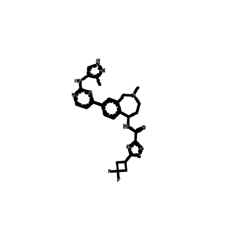 Cc1n[nH]cc1Nc1nccc(-c2ccc3c(c2)CN(C)CCC3NC(=O)c2nnc(C3CC(F)(F)C3)o2)n1